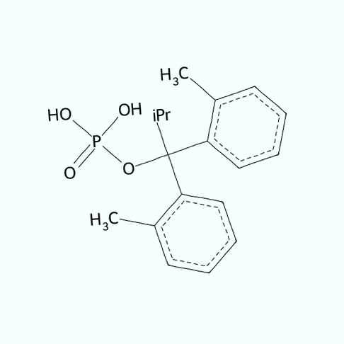 Cc1ccccc1C(OP(=O)(O)O)(c1ccccc1C)C(C)C